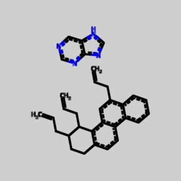 C=CCc1cc2c3c(ccc2c2ccccc12)CCC(CC=C)C3CC=C.c1ncc2[nH]cnc2n1